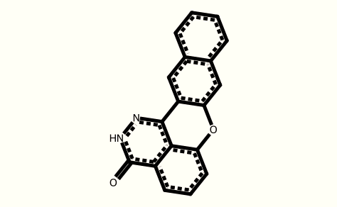 O=c1[nH]nc2c3c(cccc13)Oc1cc3ccccc3cc1-2